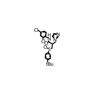 CC(C)(C)c1ccc([S+]([O-])CC(Cn2ccnc2)C(=O)Nc2ccc(Cl)cc2Cl)cc1